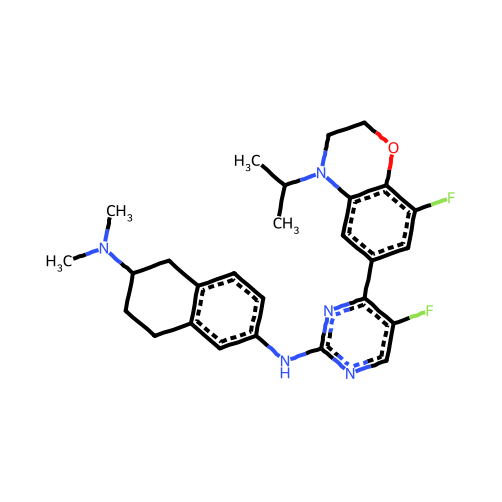 CC(C)N1CCOc2c(F)cc(-c3nc(Nc4ccc5c(c4)CCC(N(C)C)C5)ncc3F)cc21